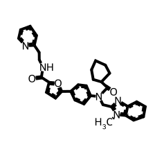 Cn1c(CN(C(=O)C2CCCCC2)c2ccc(-c3ccc(C(=O)NCCc4ccccn4)o3)cc2)nc2ccccc21